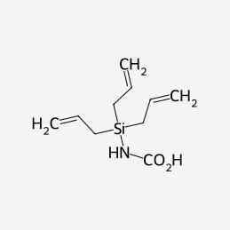 C=CC[Si](CC=C)(CC=C)NC(=O)O